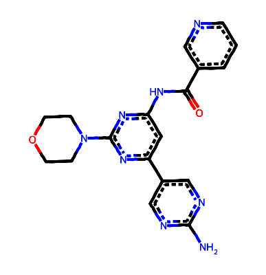 Nc1ncc(-c2cc(NC(=O)c3cccnc3)nc(N3CCOCC3)n2)cn1